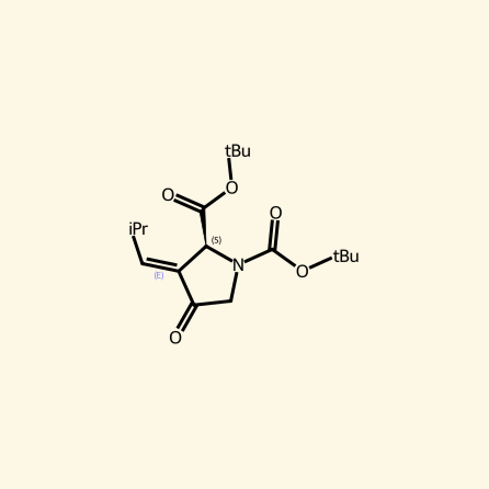 CC(C)/C=C1/C(=O)CN(C(=O)OC(C)(C)C)[C@@H]1C(=O)OC(C)(C)C